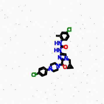 Cc1cc(Cl)ccc1NC(=O)Nc1cn(CC2CC2)c(C(=O)N2CCN(c3ccc(Cl)cc3)CC2)n1